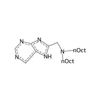 CCCCCCCCN(CCCCCCCC)Cc1nc2ncncc2[nH]1